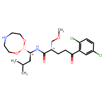 COC[C@H](CCC(=O)c1cc(Cl)ccc1Cl)C(=O)N[C@@H](CC(C)C)B1OCCNCCO1